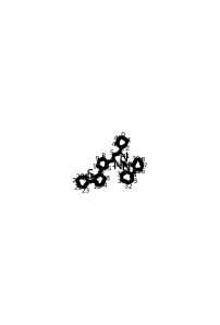 c1ccc(-c2cc(-c3cccc(-c4cccc5c4sc4ccccc45)c3)nc(-n3c4ccccc4c4ccccc43)n2)cc1